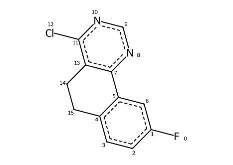 Fc1ccc2c(c1)-c1ncnc(Cl)c1CC2